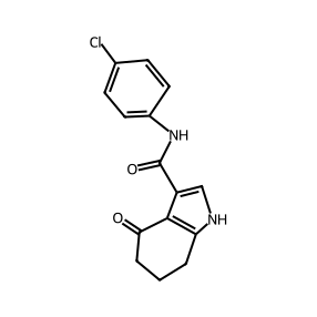 O=C(Nc1ccc(Cl)cc1)c1c[nH]c2c1C(=O)CCC2